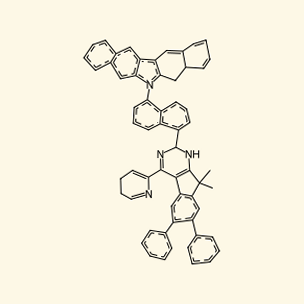 CC1(C)C2=C(C(C3=CCCC=N3)=NC(c3cccc4c(-n5c6c(c7cc8ccccc8cc75)C=C5C=CC=CC5C6)cccc34)N2)c2cc(-c3ccccc3)c(-c3ccccc3)cc21